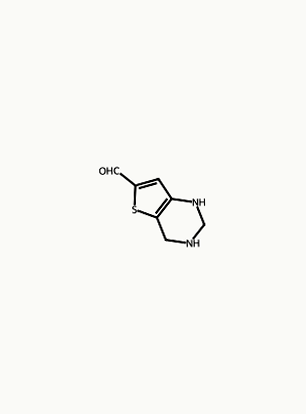 O=Cc1cc2c(s1)CNCN2